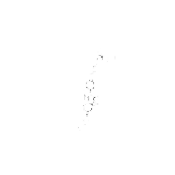 C=CCOc1ccc2nc(-c3ccc(/C=C/CCCC(C)O)cc3)cnc2c1